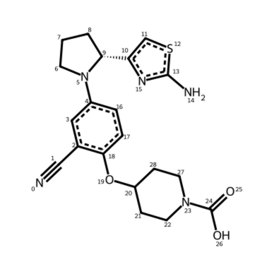 N#Cc1cc(N2CCC[C@@H]2c2csc(N)n2)ccc1OC1CCN(C(=O)O)CC1